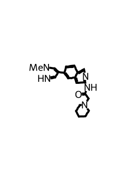 CN/C=C(\C=N)c1ccc2cnc(NC(=O)CN3CCCCC3)cc2c1